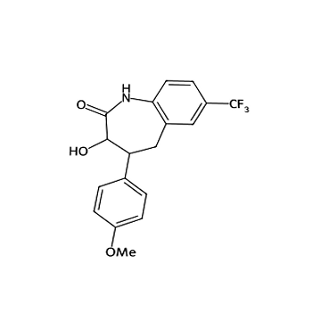 COc1ccc(C2Cc3cc(C(F)(F)F)ccc3NC(=O)C2O)cc1